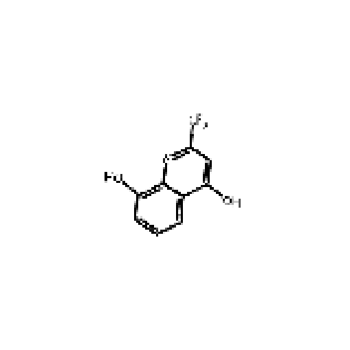 Oc1cc(C(F)(F)F)nc2c(O)cccc12